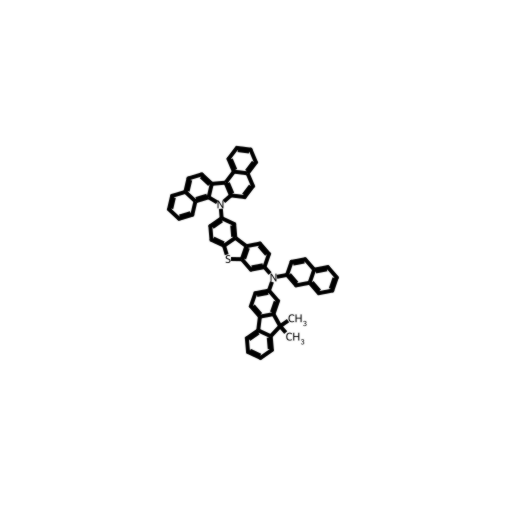 CC1(C)c2ccccc2-c2ccc(N(c3ccc4ccccc4c3)c3ccc4c(c3)sc3ccc(-n5c6ccc7ccccc7c6c6ccc7ccccc7c65)cc34)cc21